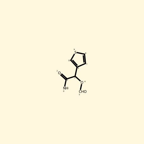 [NH]C(=O)C(OC=O)c1ccsc1